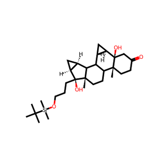 CC(C)(C)[Si](C)(C)OCCC[C@]1(O)[C@H]2C[C@H]2C2C3C(CC[C@@]21C)[C@@]1(C)CCC(=O)C[C@@]1(O)[C@@H]1C[C@H]31